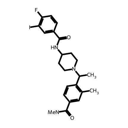 CNC(=O)c1ccc(C(C)N2CCC(NC(=O)c3ccc(F)c(I)c3)CC2)c(C)c1